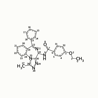 CCOc1ccc(C(=O)NC2N=C(c3ccccc3)c3ccccc3-n3c(C)nnc32)cc1